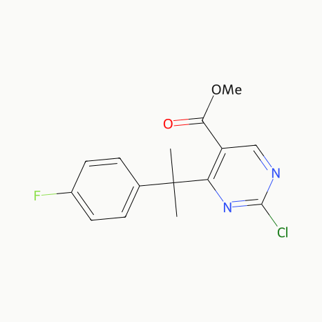 COC(=O)c1cnc(Cl)nc1C(C)(C)c1ccc(F)cc1